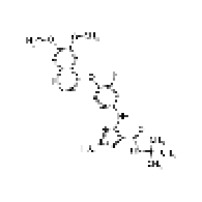 COc1cc2nccc(Oc3ccc(Nc4nn(C)cc4C(=O)NC(C)(C)C)cc3F)c2cc1OC